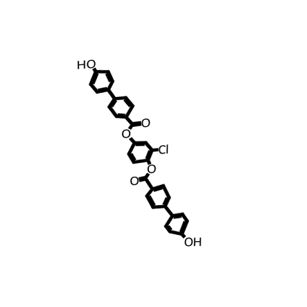 O=C(Oc1ccc(OC(=O)c2ccc(-c3ccc(O)cc3)cc2)c(Cl)c1)c1ccc(-c2ccc(O)cc2)cc1